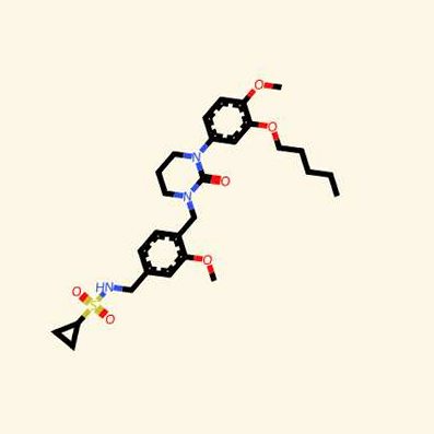 CCCCCOc1cc(N2CCCN(Cc3ccc(CNS(=O)(=O)C4CC4)cc3OC)C2=O)ccc1OC